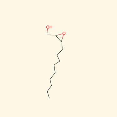 CCCCCCCCC[C@H]1O[C@H]1CO